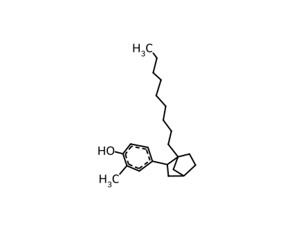 CCCCCCCCCC12CCC(CC1c1ccc(O)c(C)c1)C2